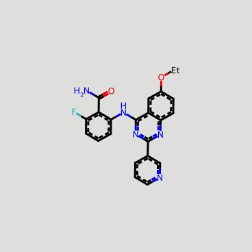 CCOc1ccc2nc(-c3cccnc3)nc(Nc3cccc(F)c3C(N)=O)c2c1